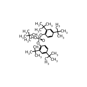 CC(C)(C)C.CC(C)(C)c1ccc(OP(=O)(O)Oc2ccc(C(C)(C)C)cc2C(C)(C)C)c(C(C)(C)C)c1